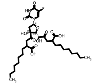 CCCCCCCCC(CC(=O)C(O)[C@H]1O[C@@H](n2cc(F)c(=O)[nH]c2=O)C[C@@]1(O)C(=O)CC(CCCCCCCC)C(=O)O)C(=O)O